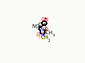 CN1C(=O)C2C[C@@](C)(C#N)[C@@H](c3ccc4c(c3)OCO4)N2C(=O)[C@@]1(C)SS